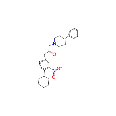 O=C(Cc1ccc(C2CCCCC2)c([N+](=O)[O-])c1)CN1CCC(c2ccccc2)CC1